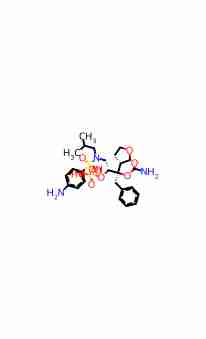 CC(C)CN(C[C@@H](OP(=O)(O)O)[C@](Cc1ccccc1)(OC(N)=O)[C@@H]1CCOC1)S(=O)(=O)c1ccc(N)cc1